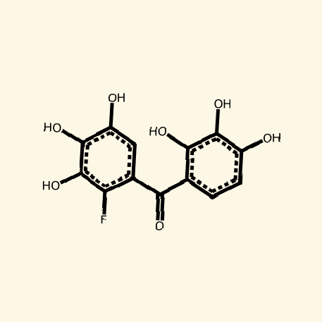 O=C(c1ccc(O)c(O)c1O)c1cc(O)c(O)c(O)c1F